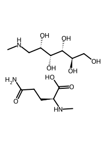 CNC[C@H](O)[C@@H](O)[C@H](O)[C@H](O)CO.CN[C@@H](CCC(N)=O)C(=O)O